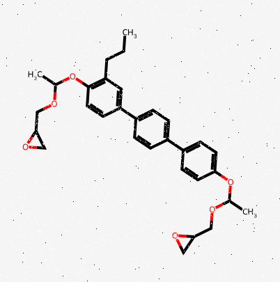 CCCc1cc(-c2ccc(-c3ccc(OC(C)OCC4CO4)cc3)cc2)ccc1OC(C)OCC1CO1